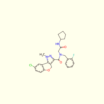 Cn1nc(C(=O)N(CC(=O)NC2CCCC2)Cc2ccccc2F)c2c1-c1cc(Cl)ccc1OC2